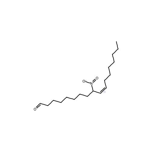 CCCCCCC/C=C\C(CCCCCCCC=O)[N+](=O)[O-]